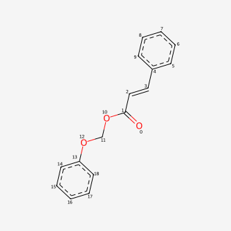 O=C(/C=C/c1ccccc1)OCOc1ccccc1